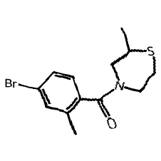 Cc1cc(Br)ccc1C(=O)N1CCSC(C)C1